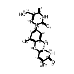 C=C1NC(=O)N(c2cc(Cl)c(Oc3cc(C(C)C)c(=O)[nH]n3)c(Cl)c2)N=C1CO